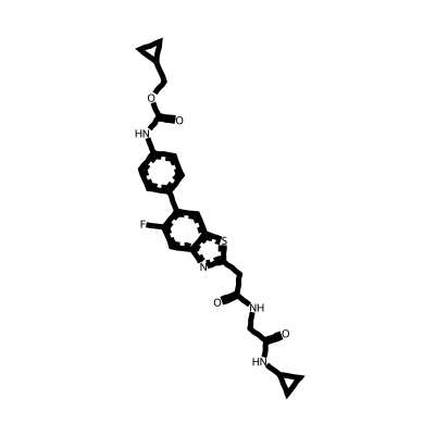 O=C(Cc1nc2cc(F)c(-c3ccc(NC(=O)OCC4CC4)cc3)cc2s1)NCC(=O)NC1CC1